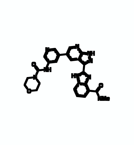 CNC(=O)c1cccc2[nH]c(-c3n[nH]c4ncc(-c5cncc(NC(=O)N6CCOCC6)c5)cc34)nc12